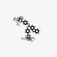 CC1(C)OB(c2ccc(OC(Oc3ccc(B4OC(C)(C)C(C)(C)O4)cc3)c3ccc4c(c3)Cc3ccccc3-4)cc2)OC1(C)C